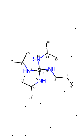 CCCN[Si](NC(C)C)(NC(C)C)NC(C)C